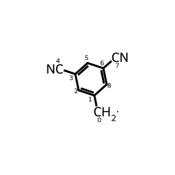 [CH2]c1cc(C#N)cc(C#N)c1